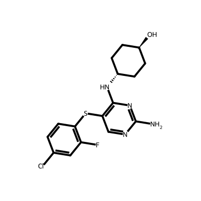 Nc1ncc(Sc2ccc(Cl)cc2F)c(N[C@H]2CC[C@H](O)CC2)n1